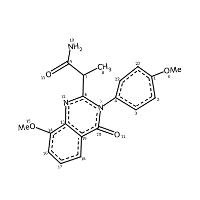 COc1ccc(-n2c(C(C)C(N)=O)nc3c(OC)cccc3c2=O)cc1